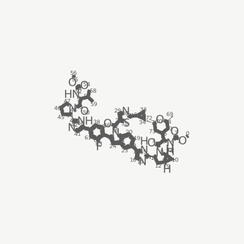 COC(=O)NC(C(=O)N1[C@@H]2C[C@@H]2C[C@H]1c1ncc(-c2ccc3c(c2)cc2n3C(c3cnc(C4CC4)s3)Oc3cc(-c4cnc([C@@H]5CCCN5C(=O)[C@@H](NC(=O)OC)C(C)C)[nH]4)cc(F)c3-2)[nH]1)C1C[C@@H](C)O[C@@H](C)C1